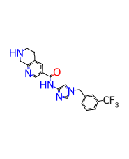 O=C(Nc1cn(Cc2cccc(C(F)(F)F)c2)cn1)c1cnc2c(c1)CCNC2